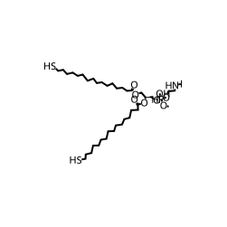 CO[PH](O)(OCCNI)OC[C@H](COC(=O)CCCCCCCCCCCCCCCS)OC(=O)CCCCCCCCCCCCCCCS